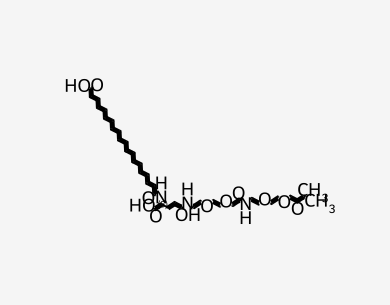 CC(C)C(=O)COCCOCCNC(=O)COCCOCCNC(O)CC[C@H](NC(=O)CCCCCCCCCCCCCCCCCCC(=O)O)C(=O)O